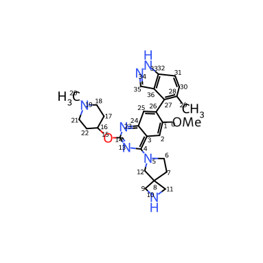 COc1cc2c(N3CCC4(CNC4)C3)nc(OC3CCN(C)CC3)nc2cc1-c1c(C)ccc2[nH]ncc12